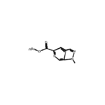 CCCCOC(=O)c1cc2cnn(C)c2cn1